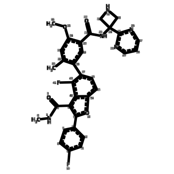 CNC(=O)c1c(-c2ccc(F)cc2)oc2ccc(-c3cc(C(=O)NC4(c5ncccn5)CNC4)c(OC)cc3C)c(F)c12